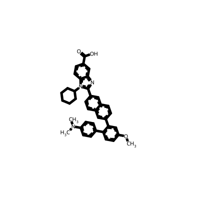 COc1ccc(-c2ccc(N(C)C)cc2)c(-c2ccc3cc(-c4nc5cc(C(=O)O)ccc5n4C4CCCCC4)ccc3c2)c1